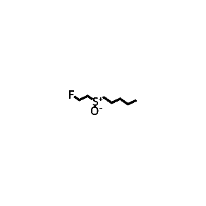 CCCCC[S+]([O-])CCF